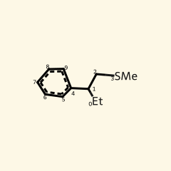 CCC(CSC)c1ccccc1